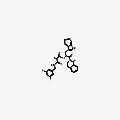 CC(C(=O)NCc1cc(F)cc(F)c1)C(=O)NC(Cc1c[nH]c2ccccc12)C(=O)N1CCc2ccccc2C1C